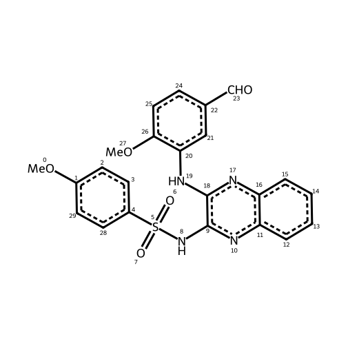 COc1ccc(S(=O)(=O)Nc2nc3ccccc3nc2Nc2cc(C=O)ccc2OC)cc1